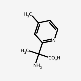 Cc1ccnc(C(C)(N)C(=O)O)c1